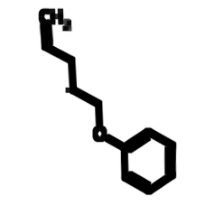 C=CC[CH]COc1ccccc1